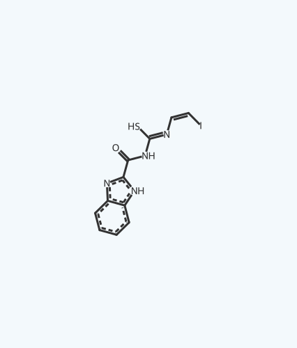 O=C(N/C(S)=N/C=C\I)c1nc2ccccc2[nH]1